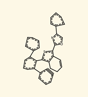 c1cccc(-c2cccc(-c3ccccc3)c2-c2sc(-c3nc(-c4ccccc4)co3)c3c2CCC=C3)c#1